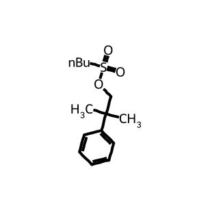 CCCCS(=O)(=O)OCC(C)(C)c1ccccc1